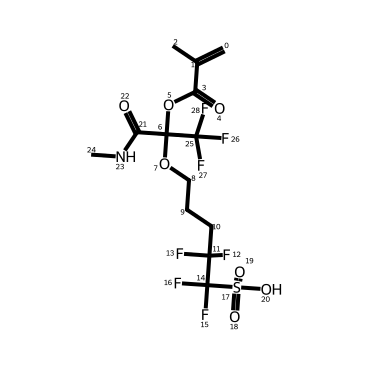 C=C(C)C(=O)OC(OCCCC(F)(F)C(F)(F)S(=O)(=O)O)(C(=O)NC)C(F)(F)F